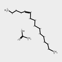 CC(=O)O.CCCC/C=C\CCCCCCCCCC